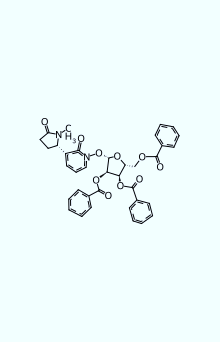 CN1C(=O)CC[C@H]1c1cccn(O[C@@H]2O[C@H](COC(=O)c3ccccc3)[C@@H](OC(=O)c3ccccc3)[C@H]2OC(=O)c2ccccc2)c1=O